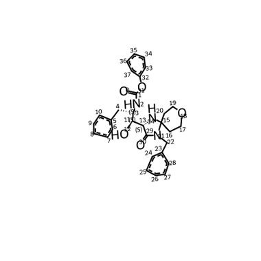 O=C(N[C@@H](Cc1ccccc1)[C@H](O)[C@@H]1NC2(CCOCC2)N(Cc2ccccc2)C1=O)Oc1ccccc1